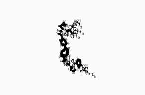 COC(=O)N[C@@H]1CC[C@H](C(=O)N2CCC[C@H]2c2ncc(-c3ccc(-c4ccc(-c5cnc([C@@H]6CCCN6C(=O)[C@@H](OC(N)=O)C(C)C)[nH]5)cc4)cc3)[nH]2)C1